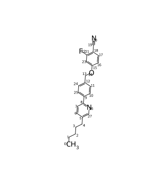 CCCCCc1ccc(-c2ccc(COc3ccc(C#N)c(F)c3)cc2)nc1